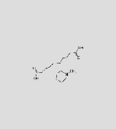 CN1CCCCC1.O=C(O)CCCCCCCCC(=O)O